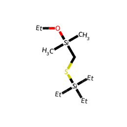 CCO[Si](C)(C)CS[Si](CC)(CC)CC